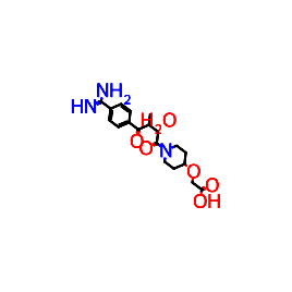 CC(CC(=O)N1CCC(OCC(=O)O)CC1)C(=O)c1ccc(C(=N)N)cc1.O